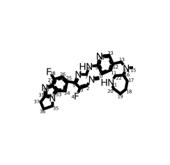 C=N/C=C(F)\C(=N/CNc1ccc(CN(C)C2CCCCNC2)cn1)c1cc(F)c2nc3n(c2c1)CCC3